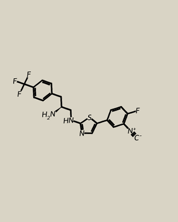 [C-]#[N+]c1cc(-c2cnc(NC[C@@H](N)Cc3ccc(C(F)(F)F)cc3)s2)ccc1F